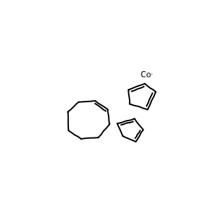 C1=CCC=C1.C1=CCC=C1.C1=CCCCCCC1.[Co]